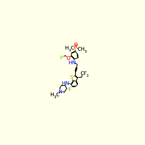 CN1CCC(Nc2cccc3c(CC(F)(F)F)c(C#CCNc4ccc(P(C)(C)=O)cc4OCF)sc23)[C@H](F)C1